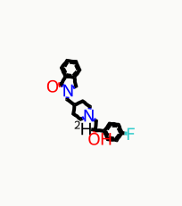 [2H]C(O)(CN1CCC(CN2Cc3ccccc3C2=O)CC1)c1ccc(F)cc1